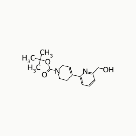 CC(C)(C)OC(=O)N1CC=C(c2cccc(CO)n2)CC1